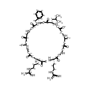 CC(C)C[C@@H]1NCC(=O)CNC(F)CC(=O)CNCC(=O)[C@H](CCCNC(=N)N)NCC(=O)[C@H](CCCNC(=N)N)NCC(=O)CNC(F)CC(=O)CNCC(=O)[C@H](Cc2ccccc2)NCC1=O